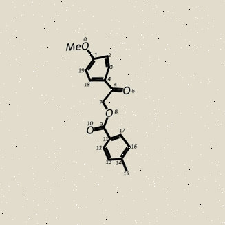 COc1ccc(C(=O)COC(=O)c2ccc(C)cc2)cc1